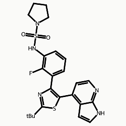 CC(C)(C)c1nc(-c2cccc(NS(=O)(=O)N3CCCC3)c2F)c(-c2ccnc3[nH]ccc23)s1